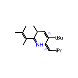 CC(C)=C(C)C(=N)C(C)/C=C(\C=C/C(C)C)C(C)(C)C